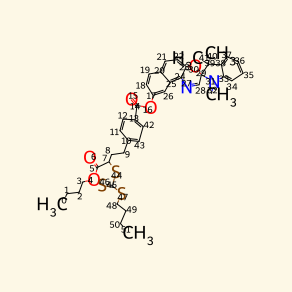 CCCCOC(=O)C(CCc1ccc(C(=O)Oc2ccc3ccc4c(c3c2)N=CC2(O4)N(C)c3ccccc3C2(C)C)cc1)SC(=S)SCCCC